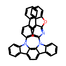 c1ccc(-c2ccc(-n3c4ccccc4c4ccc5c6ccccc6n(-c6ccc7c(n6)oc6ccccc67)c5c43)cc2)cc1